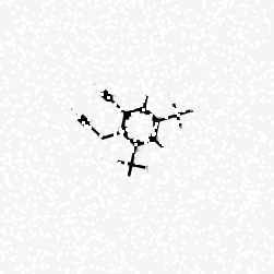 N#CCc1c(C#N)c(F)c(C(F)(F)F)c(F)c1C(F)(F)F